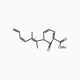 C=C/C=C\C(C)=C(/C)n1cccc(C(=O)OC)c1=O